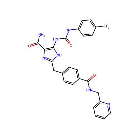 NC(=O)c1nc(Cc2ccc(C(=O)NCc3ccccn3)cc2)[nH]c1NC(=O)Nc1ccc(C(F)(F)F)cc1